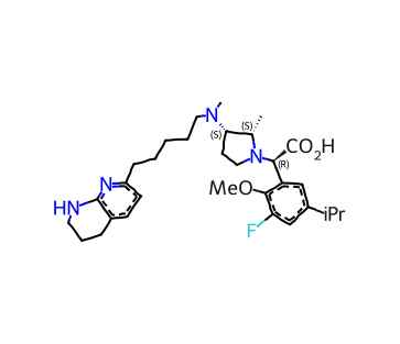 COc1c(F)cc(C(C)C)cc1[C@H](C(=O)O)N1CC[C@H](N(C)CCCCCc2ccc3c(n2)NCCC3)[C@@H]1C